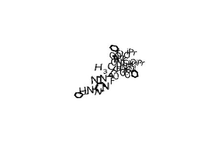 CC(C)OC(=O)[C@H](C)NP(=O)(OC[C@H]1OC2(F)C([C@@H]2n2cnc3c(NCc4ccccc4)ncnc32)C1(C)COP(=O)(N[C@@H](C)C(=O)OC(C)C)Oc1ccccc1)Oc1ccccc1